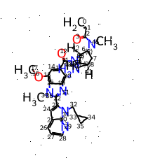 C=CC(=O)N(C)[C@@H]1C[C@@H]2CN(C(=O)c3cc(OC)c4c(c3)nc(-c3cc5cccnc5n3CC3CC3)n4C)[C@H]1[C@@H]2N